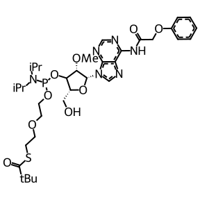 CO[C@H]1C(OP(OCCOCCSC(=O)C(C)(C)C)N(C(C)C)C(C)C)[C@@H](CO)O[C@H]1n1cnc2c(NC(=O)COc3ccccc3)ncnc21